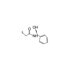 O=C(CI)N[C@@H](CO)c1ccccc1